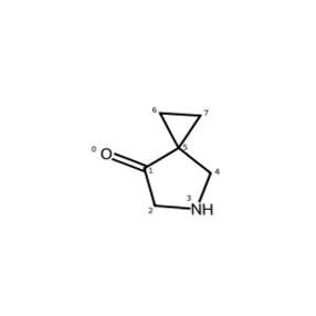 O=C1CNCC12CC2